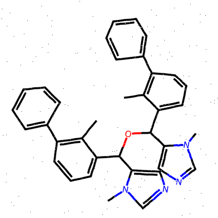 Cc1c(-c2ccccc2)cccc1C(OC(c1cccc(-c2ccccc2)c1C)c1cncn1C)c1cncn1C